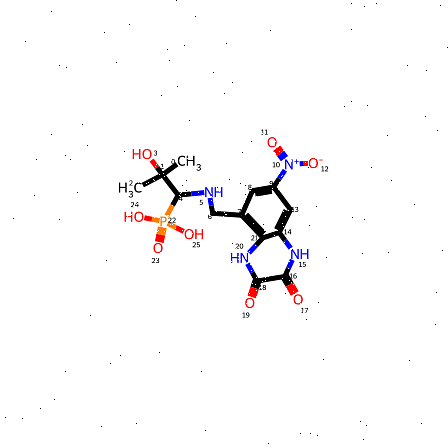 CC(C)(O)C(NCc1cc([N+](=O)[O-])cc2[nH]c(=O)c(=O)[nH]c12)P(=O)(O)O